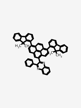 CC1(C)c2ccccc2-c2cccc(-c3ccc4cc(-c5nc6ccccc6nc5-c5ccccc5)c5ccc(-c6cccc7c6C(C)(C)c6ccccc6-7)c6ccc3c4c65)c21